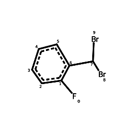 Fc1ccccc1C(Br)Br